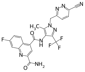 Cc1c(NC(=O)c2cc(C(N)=O)nc3cc(F)ccc23)c(C(F)(F)F)nn1Cc1ccc(C#N)nn1